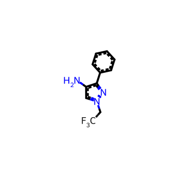 Nc1cn(CC(F)(F)F)nc1-c1ccccc1